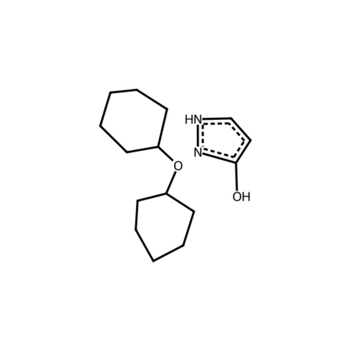 C1CCC(OC2CCCCC2)CC1.Oc1cc[nH]n1